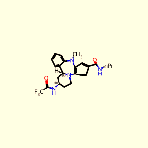 CCCNC(=O)c1ccc2c(c1)N(C)c1ccccc1[C@H]1C[C@H](NC(=O)C(F)(F)F)CCN21